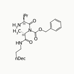 CCCCCCCCCCCCNC(=O)[C@H](C)N(C(=O)OCc1ccccc1)C(=O)[C@@H](N)C(C)C